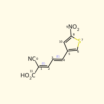 N#C/C(=C\C=C\c1csc([N+](=O)[O-])c1)C(=O)O